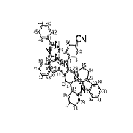 N#Cc1ccc(-n2c3ccccc3c3cc(-c4ccccc4-n4c5ccccc5c5ccccc54)ccc32)c(-c2nc(-c3ccccc3)nc(-c3ccccc3)n2)c1